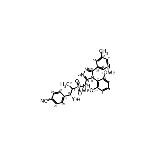 COc1cccc(OC)c1-n1c(NS(=O)(=O)C(C)[C@H](O)c2ccc(C#N)cc2)nnc1-c1cncc(C)c1